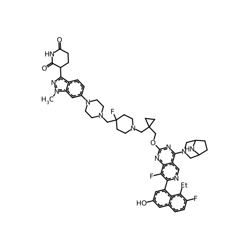 CCc1c(F)ccc2cc(O)cc(-c3ncc4c(N5CC6CCC(C5)N6)nc(OCC5(CN6CCC(F)(CN7CCN(c8ccc9c(C%10CCC(=O)NC%10=O)nn(C)c9c8)CC7)CC6)CC5)nc4c3F)c12